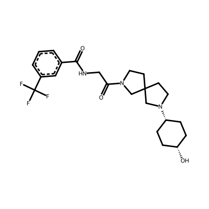 O=C(NCC(=O)N1CCC2(CCN([C@H]3CC[C@@H](O)CC3)C2)C1)c1cccc(C(F)(F)F)c1